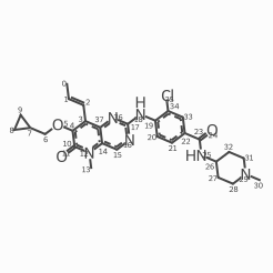 CC=Cc1c(OCC2CC2)c(=O)n(C)c2cnc(Nc3ccc(C(=O)NC4CCN(C)CC4)cc3Cl)nc12